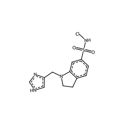 O=S(=O)(NCl)c1ccc2c(c1)N(Cc1c[nH]cn1)CC2